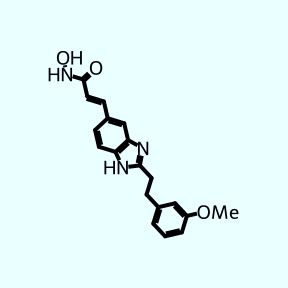 COc1cccc(CCc2nc3cc(/C=C/C(=O)NO)ccc3[nH]2)c1